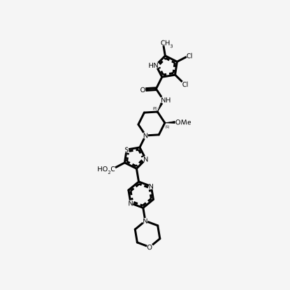 CO[C@H]1CN(c2nc(-c3cnc(N4CCOCC4)cn3)c(C(=O)O)s2)CC[C@H]1NC(=O)c1[nH]c(C)c(Cl)c1Cl